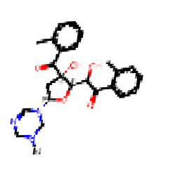 CCN1CN=CN([C@@H]2C[C@@](O)(C(=O)c3ccccc3C)[C@@H](C(O)C(=O)c3ccccc3C)O2)C1